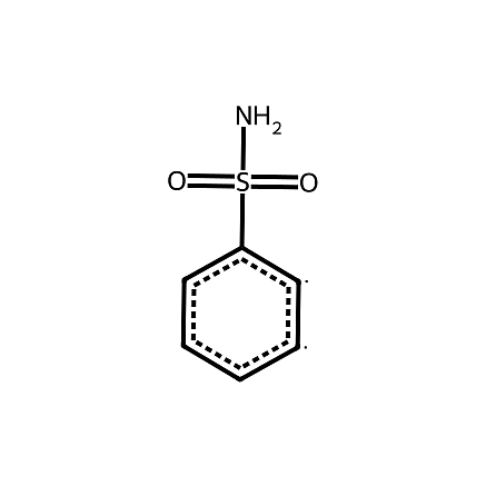 NS(=O)(=O)c1[c][c]ccc1